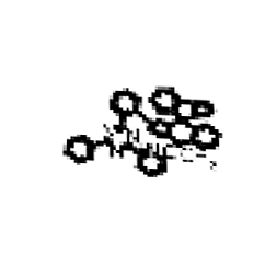 CC1(C)c2ccccc2C2(c3ccccc3-c3ccccc32)c2cc(-c3ccccc3-c3nc(-c4ccccc4)nc(-c4ccccn4)n3)ccc21